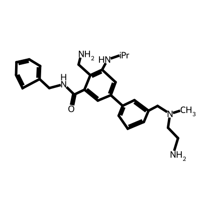 CC(C)Nc1cc(-c2cccc(CN(C)CCN)c2)cc(C(=O)NCc2ccccc2)c1CN